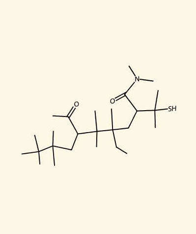 CCC(C)(CC(C(=O)N(C)C)C(C)(C)S)C(C)(C)C(CC(C)(C)C(C)(C)C)C(C)=O